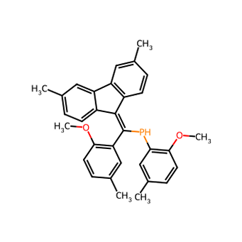 COc1ccc(C)cc1PC(=C1c2ccc(C)cc2-c2cc(C)ccc21)c1cc(C)ccc1OC